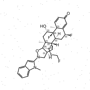 Cn1c(N2C[C@@H]3C[C@H]4[C@@H]5C[C@H](F)C6=CC(=O)C=C[C@]6(C)[C@@]5(F)[C@@H](O)C[C@]4(C)[C@]3(C(=O)SCF)O2)cc2ccccc21